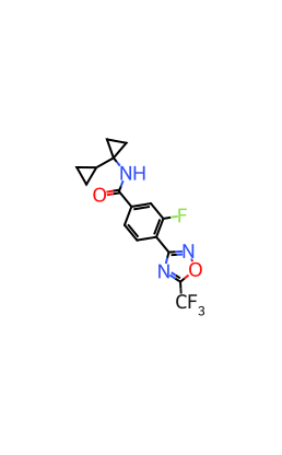 O=C(NC1(C2CC2)CC1)c1ccc(-c2noc(C(F)(F)F)n2)c(F)c1